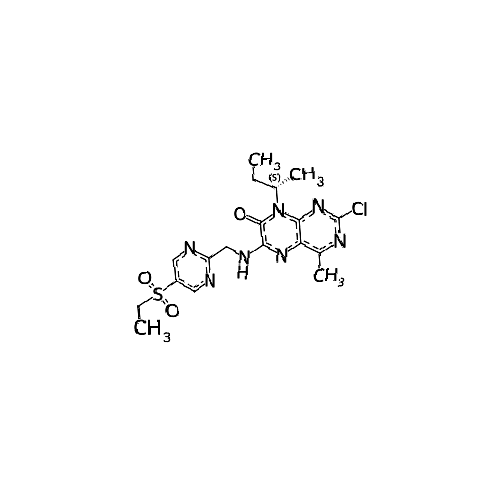 CC[C@H](C)n1c(=O)c(NCc2ncc(S(=O)(=O)CC)cn2)nc2c(C)nc(Cl)nc21